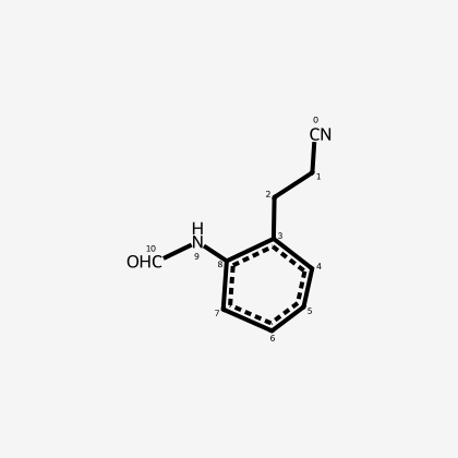 N#CCCc1ccccc1NC=O